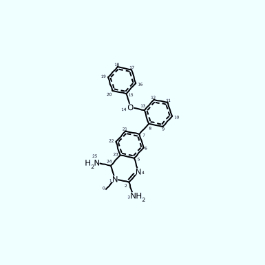 CN1C(N)=Nc2cc(-c3ccccc3Oc3ccccc3)ccc2C1N